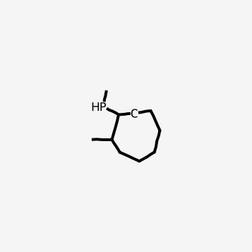 CPC1CCCCCCC1C